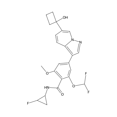 COc1cc(-c2cnn3cc(C4(O)CCC4)ccc23)cc(OC(F)F)c1C(=O)NC1CC1F